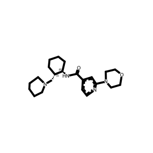 O=C(N[C@@H]1CCCC[C@H]1CN1CCCCC1)c1ccnc(N2CCOCC2)c1